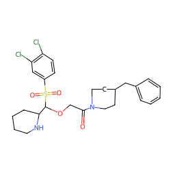 O=C(COC(C1CCCCN1)S(=O)(=O)c1ccc(Cl)c(Cl)c1)N1CCC(Cc2ccccc2)CC1